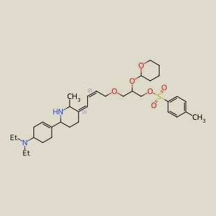 CCN(CC)C1CC=C(C2CC/C(=C/C=C\COCC(COS(=O)(=O)c3ccc(C)cc3)OC3CCCCO3)C(C)N2)CC1